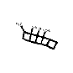 CC1CC2C3C4C5CCC5C4(C)C3(C)C12C